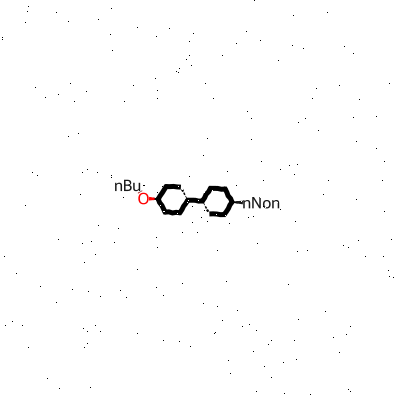 CCCCCCCCC[C@H]1CC[C@H]([C@H]2CC[C@H](OCCCC)CC2)CC1